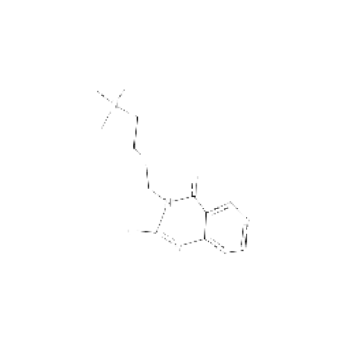 C[Si](C)(C)CCOCn1c(Cl)nc2ccccc2c1=O